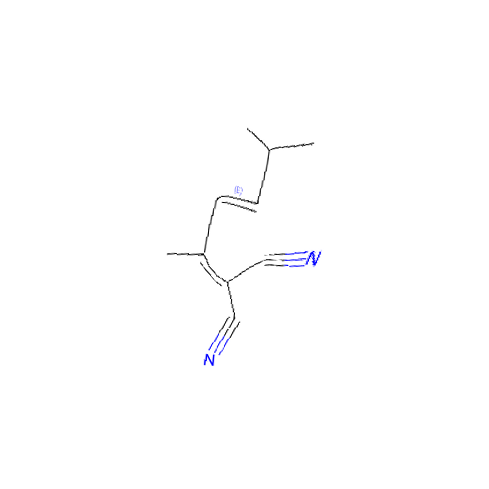 CC(/C=C/C(C)C)=C(C#N)C#N